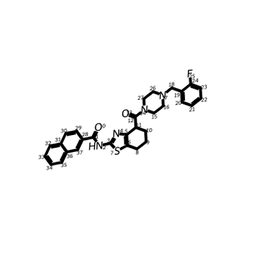 O=C(Nc1nc2c(s1)CCCC2C(=O)N1CCN(Cc2ccccc2F)CC1)c1ccc2ccccc2c1